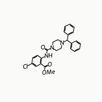 COC(=O)c1cc(Cl)ccc1NC(=O)N1CCN(C(c2ccccc2)c2ccccc2)CC1